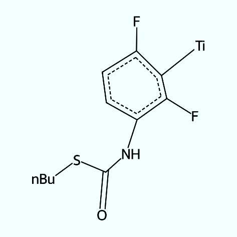 CCCCSC(=O)Nc1ccc(F)[c]([Ti])c1F